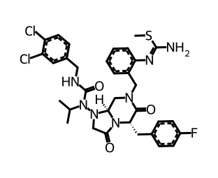 CS/C(N)=N\c1ccccc1CN1C[C@H]2N(C(=O)CN2N(C(=O)NCc2ccc(Cl)c(Cl)c2)C(C)C)[C@@H](Cc2ccc(F)cc2)C1=O